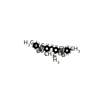 Cc1ccc(S(=O)(=O)Oc2c(C)cc(Cc3cc(C)c(OS(=O)(=O)c4ccc(C)cc4)c(C)c3)cc2C)cc1